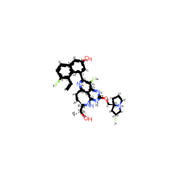 C=Cc1c(F)ccc2cc(O)cc(-c3nc4c5c(nc(OC[C@@]67CCCN6C[C@H](F)C7)nc5c3F)N[C@@H]([C@@H](C)O)CC4)c12